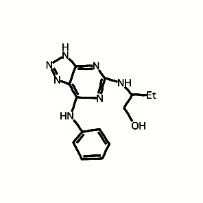 CCC(CO)Nc1nc(Nc2ccccc2)c2nn[nH]c2n1